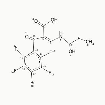 CCC(O)NC=C(C(=O)O)C(=O)c1c(F)c(F)c(Br)c(F)c1F